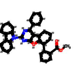 COC(=O)c1ccccc1-c1cccc2c1oc1nc(-n3c4ccccc4c4ccccc43)nc(-c3ccccc3)c12